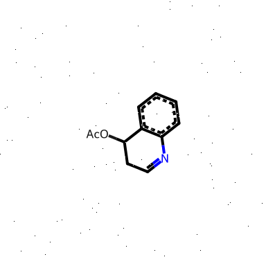 CC(=O)OC1CC=Nc2ccccc21